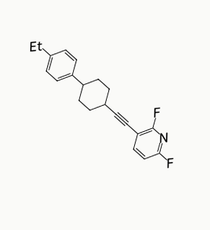 CCc1ccc(C2CCC(C#Cc3ccc(F)nc3F)CC2)cc1